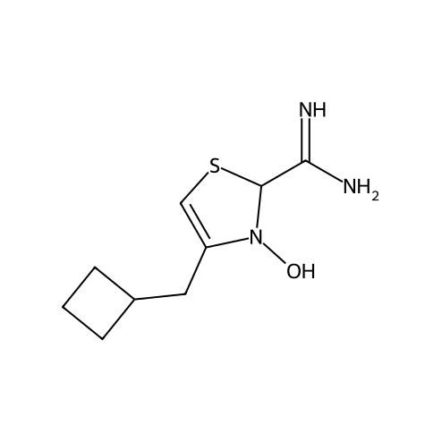 N=C(N)C1SC=C(CC2CCC2)N1O